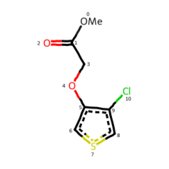 COC(=O)COc1cscc1Cl